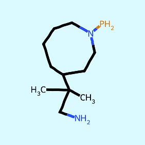 CC(C)(CN)C1CCCCN(P)CC1